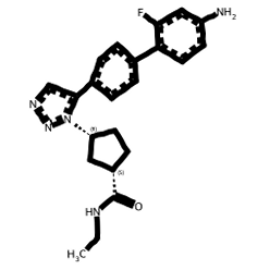 CCNC(=O)[C@H]1CC[C@@H](n2nncc2-c2ccc(-c3ccc(N)cc3F)cc2)C1